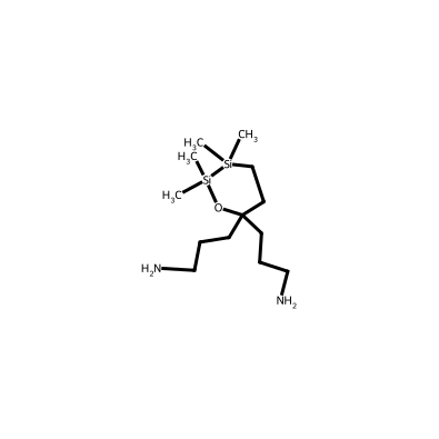 C[Si]1(C)CCC(CCCN)(CCCN)O[Si]1(C)C